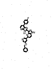 Fc1ccc(-c2ccnc3[nH]c(-c4n[nH]c5ccc(-c6cncc(OCc7ccccc7)c6)nc45)nc23)cc1